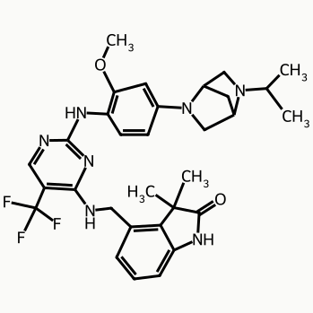 COc1cc(N2CC3CC2CN3C(C)C)ccc1Nc1ncc(C(F)(F)F)c(NCc2cccc3c2C(C)(C)C(=O)N3)n1